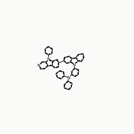 c1ccc(N(c2ccccc2)c2cccc(-n3c4ccccc4c4ccc(-c5ccc6c7ccncc7n(-c7ccccc7)c6c5)cc43)c2)cc1